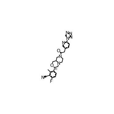 Cc1c([C@@H]2CN3CCN(C(=O)Cc4ccc(-n5cnnn5)nc4)CC3CO2)ccc(F)c1C#N